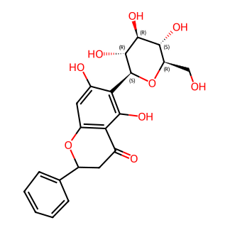 O=C1CC(c2ccccc2)Oc2cc(O)c([C@@H]3O[C@H](CO)[C@@H](O)[C@H](O)[C@H]3O)c(O)c21